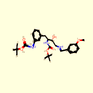 COc1cccc(CNC[C@@H](O)C(Cc2cccc(NC(=O)OC(C)(C)C)c2)NC(=O)OC(C)(C)C)c1